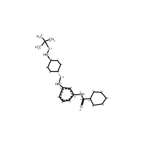 CC(C)(C)SN[C@H]1CC[C@H](CNc2cccc(NC(=O)C3CCCCC3)c2)CC1